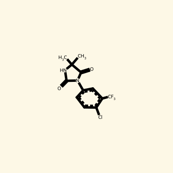 CC1(C)NC(=O)N(c2ccc(Cl)c(C(F)(F)F)c2)C1=O